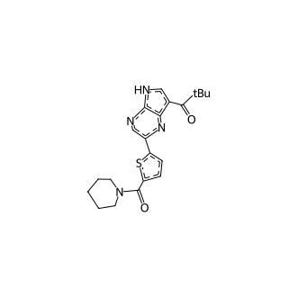 CC(C)(C)C(=O)c1c[nH]c2ncc(-c3ccc(C(=O)N4CCCCC4)s3)nc12